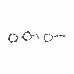 CCCCC[C@H]1CC[C@H](CCc2ccc(-c3ccccc3)cc2)CC1